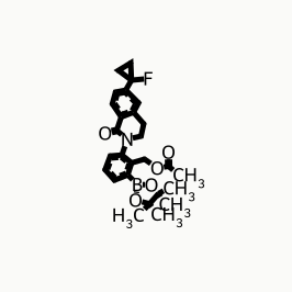 CC(=O)OCc1c(B2OC(C)(C)C(C)(C)O2)cccc1N1CCc2cc(C3(F)CC3)ccc2C1=O